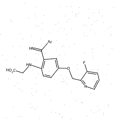 CC(=O)C(=N)c1cc(OCc2ncccc2F)ccc1NCC(=O)O